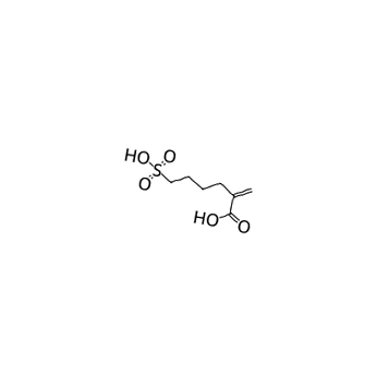 C=C(CCCCS(=O)(=O)O)C(=O)O